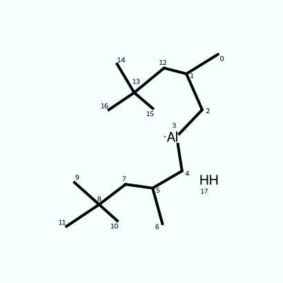 CC([CH2][Al][CH2]C(C)CC(C)(C)C)CC(C)(C)C.[HH]